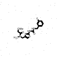 COCC(=O)N(C)Cc1csc(NC(=O)NCc2cccc(F)c2)n1